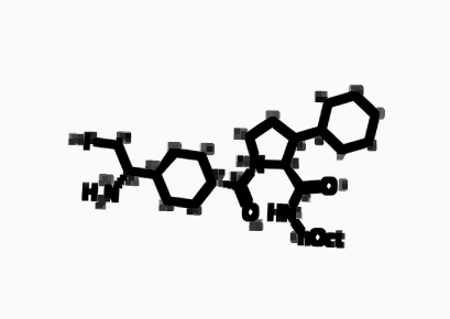 CCCCCCCCNC(=O)[C@@H]1C(C2CCCCC2)CCN1C(=O)[C@H]1CC[C@H]([C@H](N)CF)CC1